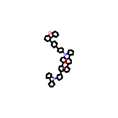 c1ccc(-c2ccc(-c3ccccc3N(c3ccc(-c4ccc(-c5cccc(-n6c7ccccc7c7ccccc76)c5)cc4)cc3)c3ccc(-c4ccc(-c5cccc6oc7ccccc7c56)cc4)cc3)cc2)cc1